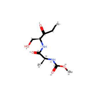 C[C](C)CC(=O)[C@H](CO)NC(=O)[C@@H](NC(=O)OC(C)(C)C)C(C)C